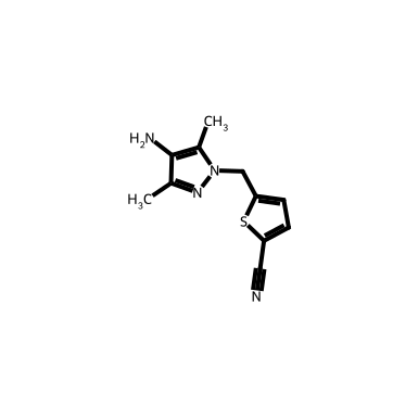 Cc1nn(Cc2ccc(C#N)s2)c(C)c1N